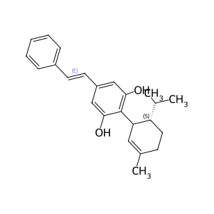 CC1=CC(c2c(O)cc(/C=C/c3ccccc3)cc2O)[C@H](C(C)C)CC1